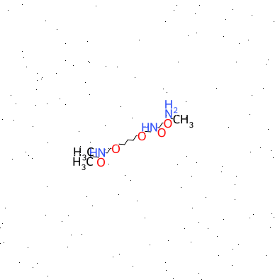 CC(N)OCC(=O)NCCOCCCCCOCCNC(=O)C(C)C